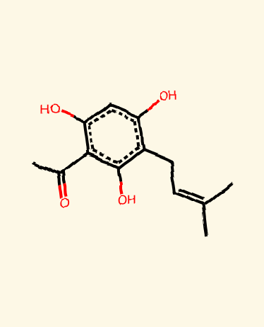 CC(=O)c1c(O)cc(O)c(CC=C(C)C)c1O